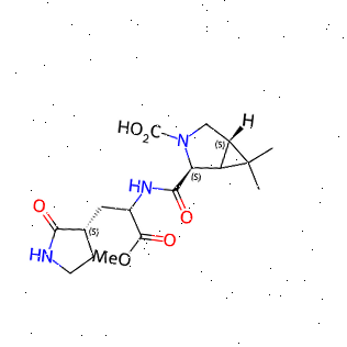 COC(=O)C(C[C@@H]1CCNC1=O)NC(=O)[C@@H]1C2[C@H](CN1C(=O)O)C2(C)C